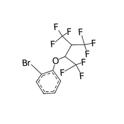 FC(F)(F)C(Oc1ccccc1Br)C(C(F)(F)F)C(F)(F)F